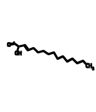 CCCCCCCCCCCC/C=C/C(O)[C]=O